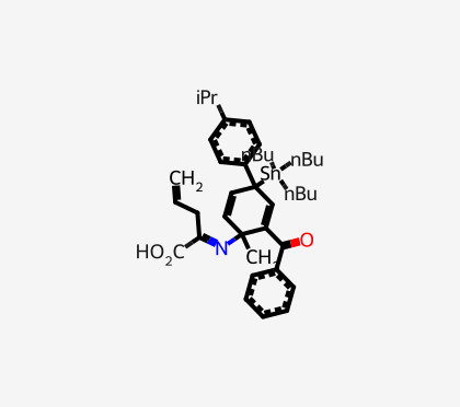 C=CCC(=NC1(C)C=C[C](c2ccc(C(C)C)cc2)([Sn]([CH2]CCC)([CH2]CCC)[CH2]CCC)C=C1C(=O)c1ccccc1)C(=O)O